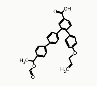 C=CCOc1ccc(-c2ccc(C(=O)O)cc2-c2ccc(-c3ccc(C(C)OC=O)cc3)cc2)cc1